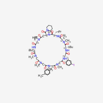 CCCC[C@@H]1NC(=O)[C@H](Cc2cccc(I)c2)NC(=O)CN(C)C(=O)[C@H](Cc2ccc(C)cc2)N(C)C(=O)CN(C)C(=O)CN(C)C(=O)[C@H]([C@@H](C)CC)NC(=O)[C@H](CC(C)C)N(C)C(=O)C[C@@H](C(=O)N2CCCCC2)N(C)C(=O)[C@H](CC(C)C)NC(=O)[C@H](C)N(C)C1=O